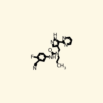 CCCN(Cc1cn[nH]c1-c1ncccn1)C(=O)Nc1ccc(F)c(C#N)c1